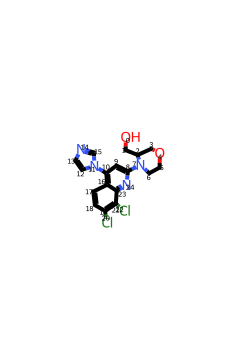 OCC1COCCN1c1cc(-n2ccnc2)c2ccc(Cl)c(Cl)c2n1